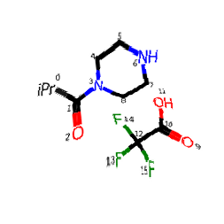 CC(C)C(=O)N1CCNCC1.O=C(O)C(F)(F)F